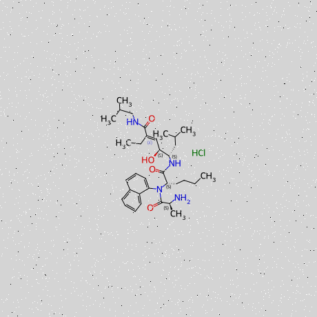 CCCC[C@@H](C(=O)N[C@@H](CC(C)C)[C@@H](O)/C=C(\CC)C(=O)NCC(C)C)N(C(=O)[C@H](C)N)c1cccc2ccccc12.Cl